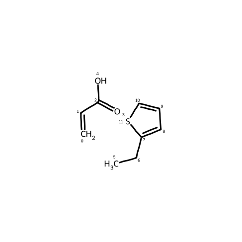 C=CC(=O)O.CCc1cccs1